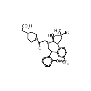 CCC(C)(C)CC1C(=O)N(CC(=O)N2CCC(CC(=O)O)CC2)CC(c2ccccc2OC)c2cc(C(F)(F)F)ccc21